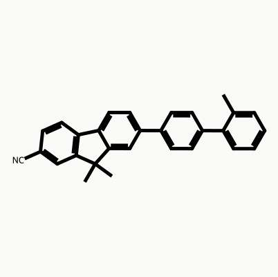 Cc1ccccc1-c1ccc(-c2ccc3c(c2)C(C)(C)c2cc(C#N)ccc2-3)cc1